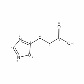 O=C(O)CCc1ncno1